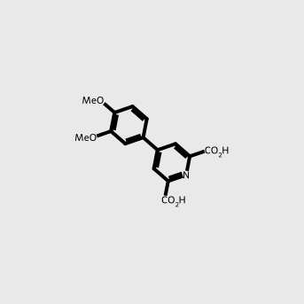 COc1ccc(-c2cc(C(=O)O)nc(C(=O)O)c2)cc1OC